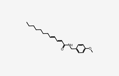 CCCCCCC/C=C/C=C/C(=O)NCc1ccc(OC)cc1